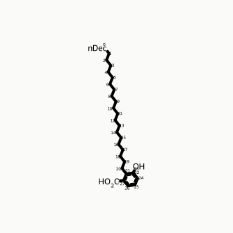 CCCCCCCCCCCCCCCCCCCCCCCCCCCCCCc1c(O)cccc1C(=O)O